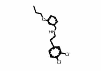 CCCOc1cccc(CNCCc2ccc(Cl)c(Cl)c2)c1